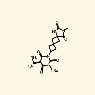 CCCCN1C(=O)C(=C(N)N)C(=O)N(C2CC3(C2)CC2(C3)NC(=O)N(C)C2=O)C1=O